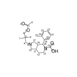 CC(=O)OCC(C)(C)CN1CC2CCN(C(=O)O)C(c3ccccc3C)C2C1